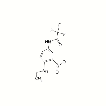 CCNc1ccc(NC(=O)C(F)(F)F)cc1[N+](=O)[O-]